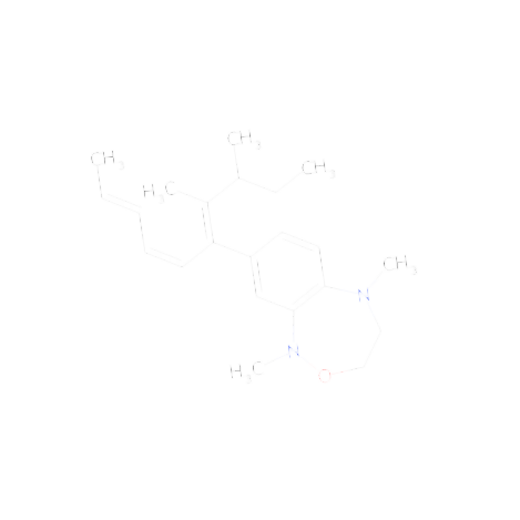 C/C=C/C=C\C(=C(/C)C(C)CC)c1ccc2c(c1)N(C)OCCN2C